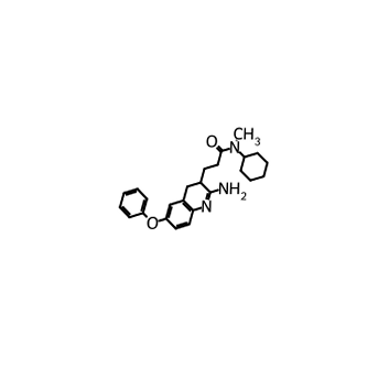 CN(C(=O)CCC1Cc2cc(Oc3ccccc3)ccc2N=C1N)C1CCCCC1